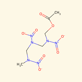 CC(=O)OCN(CN(CN(C)[N+](=O)[O-])[N+](=O)[O-])[N+](=O)[O-]